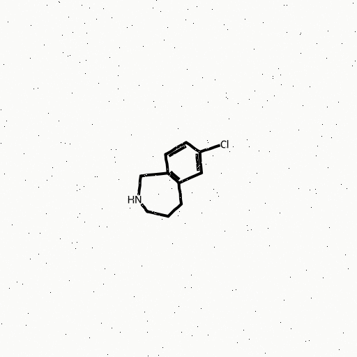 Clc1ccc2c(c1)CCCNC2